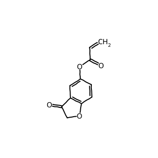 C=CC(=O)Oc1ccc2c(c1)C(=O)CO2